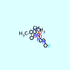 CCc1ccc2c(c1-c1ccccc1)c(=O)c(C(=O)NOc1nccc3c1ccn3-c1cccc(F)c1)c(C)n2C